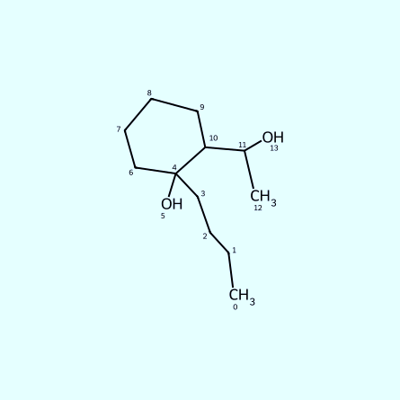 CCCCC1(O)CCCCC1C(C)O